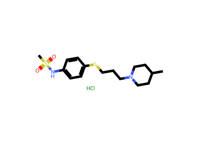 CC1CCN(CCCSc2ccc(NS(C)(=O)=O)cc2)CC1.Cl